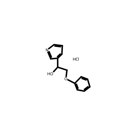 Cl.OC(COc1ccccc1)c1cccnc1